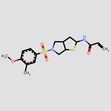 C=CC(=O)NC1CC2CN(S(=O)(=O)c3ccc(OC)c(C)c3)CC2S1